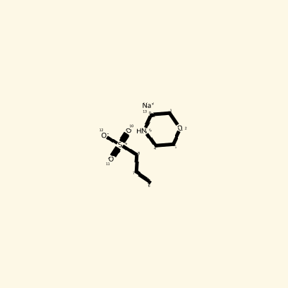 C1COCCN1.CCCS(=O)(=O)[O-].[Na+]